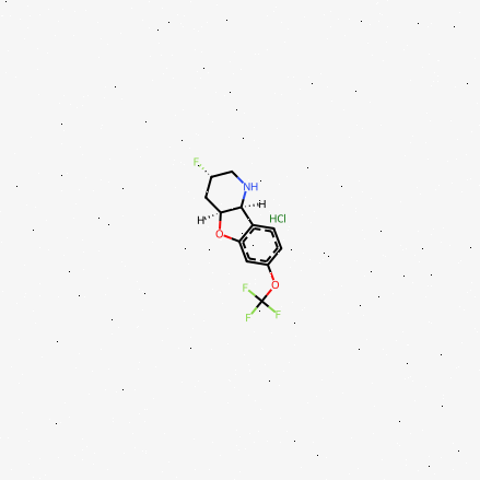 Cl.F[C@@H]1CN[C@H]2c3ccc(OC(F)(F)F)cc3O[C@H]2C1